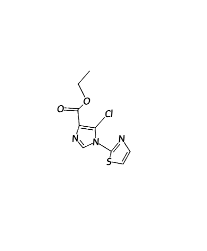 CCOC(=O)c1ncn(-c2nccs2)c1Cl